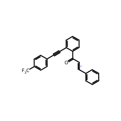 O=C(/C=C/c1ccccc1)c1ccccc1C#Cc1ccc(C(F)(F)F)cc1